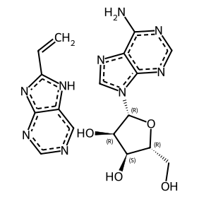 C=Cc1nc2ncncc2[nH]1.Nc1ncnc2c1ncn2[C@@H]1O[C@H](CO)[C@@H](O)[C@H]1O